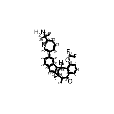 CC1C(=O)c2cccc(OC(F)F)c2[C@@H]2CC1(C)C1=Cc3ccc(C4=CN=C(C(C)(C)N)CC=C4)cc3C12